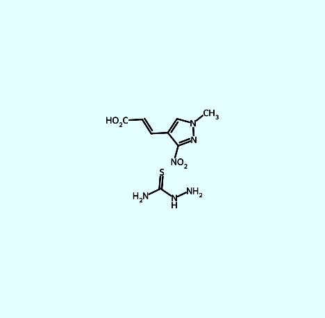 Cn1cc(C=CC(=O)O)c([N+](=O)[O-])n1.NNC(N)=S